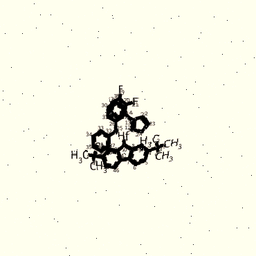 CC(C)(C)c1ccc2c(c1)[CH]([Hf]([C]1=C(c3cccc(F)c3F)C=CC1)=[C](c1ccccc1)c1ccccc1)c1cc(C(C)(C)C)ccc1-2